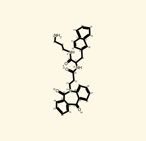 NCCCNC(=O)C(Cc1ccc2ccccc2c1)NC(=O)CCn1c(=O)c2ccccc2c(=O)c2ccccc21